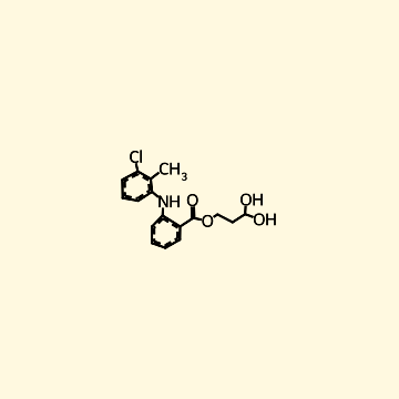 Cc1c(Cl)cccc1Nc1ccccc1C(=O)OCCC(O)O